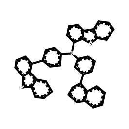 c1cc(-c2cccc3ccccc23)cc(N(c2ccc(-c3cccc4sc5ccccc5c34)cc2)c2cccc3c2sc2ccccc23)c1